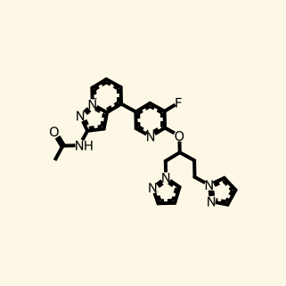 CC(=O)Nc1cc2c(-c3cnc(OC(CCn4cccn4)Cn4cccn4)c(F)c3)cccn2n1